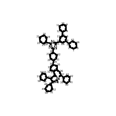 c1ccc(-c2cc(-c3ccccc3)cc(-c3nc(-c4ccccc4)nc(-c4ccc(-c5ccc6c(c5)cc(-c5ccccc5)n5nc(-c7ccccc7)c(-c7ccccc7)c65)cc4)n3)c2)cc1